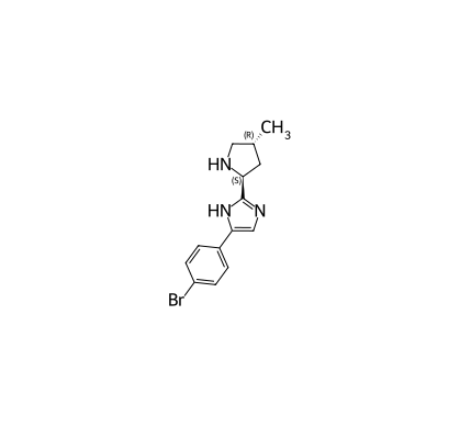 C[C@H]1CN[C@H](c2ncc(-c3ccc(Br)cc3)[nH]2)C1